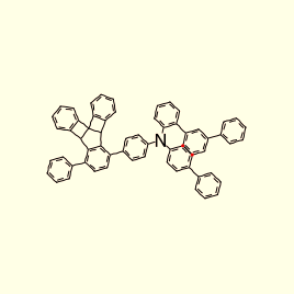 c1ccc(-c2ccc(N(c3ccc(-c4ccc(-c5ccccc5)c5c4C4c6ccccc6C46c4ccccc4C56)cc3)c3ccccc3-c3cccc(-c4ccccc4)c3)cc2)cc1